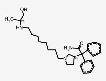 C[C@@H](CO)NCCCCCCCCN1CC[C@H](C(C(N)=O)(c2ccccc2)c2ccccc2)C1